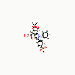 Cc1c(C(C)(C(=O)O)C2COC(C)(C)O2)cc(-c2ccc(S(C)(=O)=O)cc2)n1-c1ccccc1